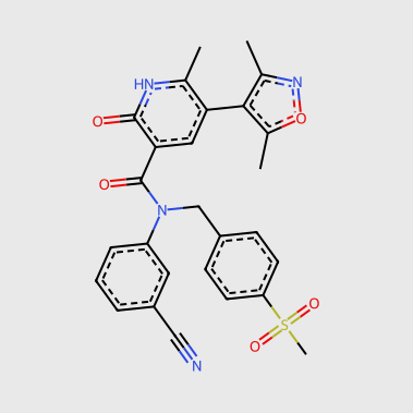 Cc1noc(C)c1-c1cc(C(=O)N(Cc2ccc(S(C)(=O)=O)cc2)c2cccc(C#N)c2)c(=O)[nH]c1C